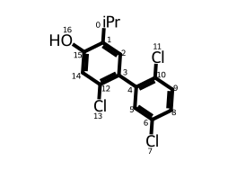 CC(C)c1cc(-c2cc(Cl)ccc2Cl)c(Cl)cc1O